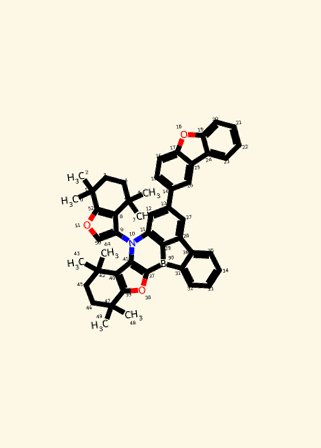 CC1(C)CCC(C)(C)c2c(N3c4cc(-c5ccc6oc7ccccc7c6c5)cc5c4B(c4ccccc4-5)c4oc5c(c43)C(C)(C)CCC5(C)C)coc21